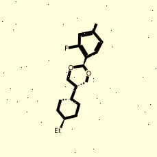 CC[C@H]1CC[C@H]([C@H]2CO[C@H](c3ccc(C)cc3F)OC2)CC1